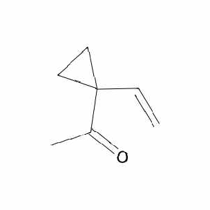 C=CC1(C(C)=O)CC1